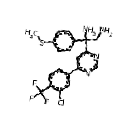 CSc1ccc(C(N)(CN)c2cc(-c3ccc(C(F)(F)F)c(Cl)c3)ncn2)cc1